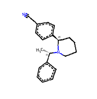 C[C@@H](c1ccccc1)N1CCCC[C@@H]1c1ccc(C#N)cc1